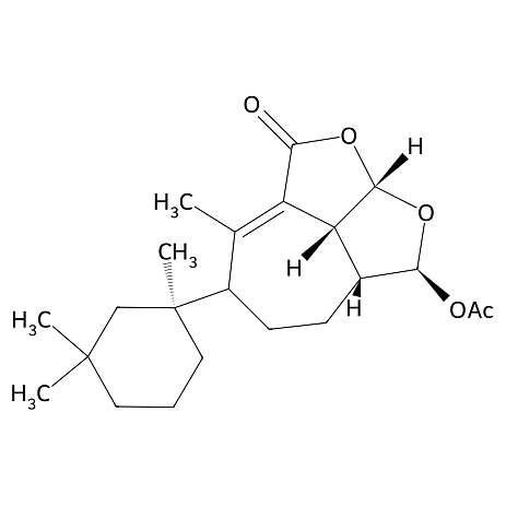 CC(=O)O[C@@H]1O[C@H]2OC(=O)C3=C(C)C([C@@]4(C)CCCC(C)(C)C4)CC[C@@H]1[C@H]32